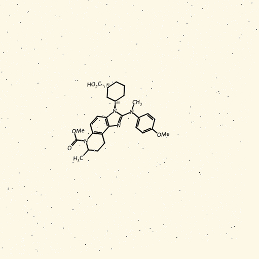 COC(=O)N1c2ccc3c(nc(N(C)c4ccc(OC)cc4)n3[C@@H]3CCC[C@@H](C(=O)O)C3)c2CCC1C